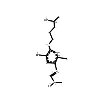 CCN(C)/C=N/c1cc(Br)c(OCCCC(C)O)nc1C